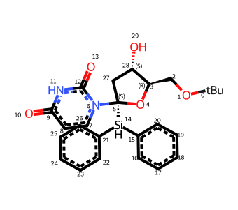 CC(C)(C)OC[C@H]1O[C@](n2ccc(=O)[nH]c2=O)([SiH](c2ccccc2)c2ccccc2)C[C@@H]1O